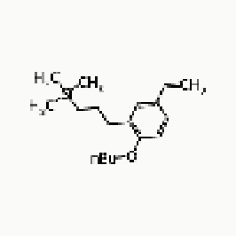 C=Cc1ccc(OCCCC)c(CCC[Si](C)(C)C)c1